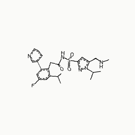 CNCc1cc(S(=O)(=O)NC(=O)Cc2c(-c3cccnc3)cc(F)cc2C(C)C)nn1C(C)C